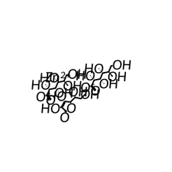 O=C([O-])[C@H](O)[C@@H](O)[C@H](O)[C@H](O)CO.O=C([O-])[C@H](O)[C@@H](O)[C@H](O)[C@H](O)CO.O=C1O[C@H]([C@@H](O)CO)C(O)=C1O.[Zn+2]